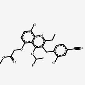 CCc1nc2c(Cl)ccc(OCC(=O)OC)c2c(OC(F)F)c1Cc1ccc(C#N)cc1Cl